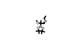 CC/N=C\C(C)(OC)B1OC(C)(C)C(C)(C)O1